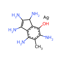 Cc1c(N)c(O)c2c(c1N)C(N)=C(N)C2N.[Ag]